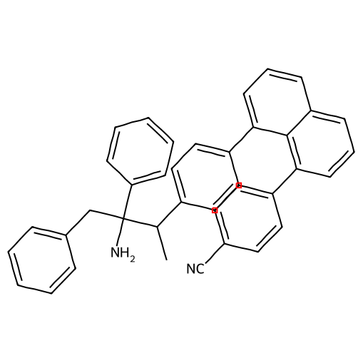 CC(c1ccc(-c2cccc3cccc(-c4ccc(C#N)cc4)c23)cc1)C(N)(Cc1ccccc1)c1ccccc1